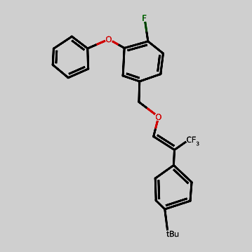 CC(C)(C)c1ccc(C(=COCc2ccc(F)c(Oc3ccccc3)c2)C(F)(F)F)cc1